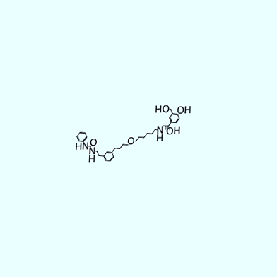 O=C(NCCc1cccc(CCCCOCCCCCCNC[C@H](O)c2ccc(O)c(CO)c2)c1)Nc1ccccc1